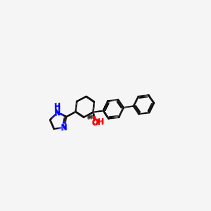 O[C@]1(c2ccc(-c3ccccc3)cc2)CCCC(C2=NCCN2)C1